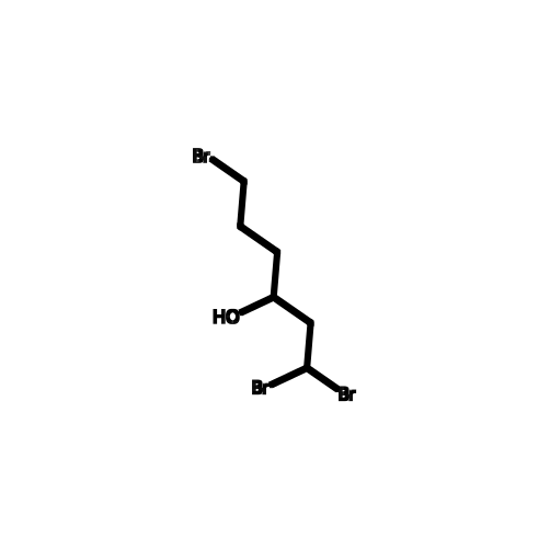 OC(CCCBr)CC(Br)Br